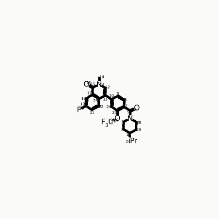 CC(C)C1CCN(C(=O)c2ccc(-c3cn(C)c(=O)c4cc(F)ccc34)cc2OC(F)(F)F)CC1